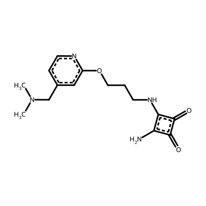 CN(C)Cc1ccnc(OCCCNc2c(N)c(=O)c2=O)c1